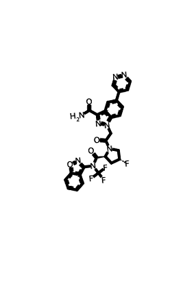 NC(=O)c1nn(CC(=O)N2C[C@H](F)C[C@H]2C(=O)N(c2noc3ccccc23)C(F)(F)F)c2ccc(-c3ccnnc3)cc12